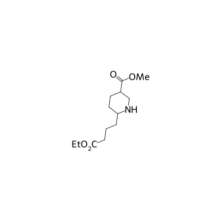 CCOC(=O)CCCC1CCC(C(=O)OC)CN1